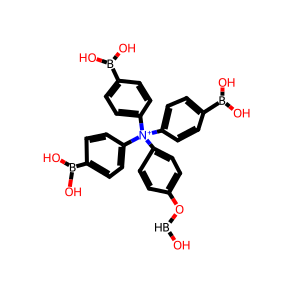 OBOc1ccc([N+](c2ccc(B(O)O)cc2)(c2ccc(B(O)O)cc2)c2ccc(B(O)O)cc2)cc1